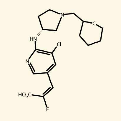 O=C(O)/C(F)=C\c1cnc(N[C@@H]2CCN(CC3CCCCC3)C2)c(Cl)c1